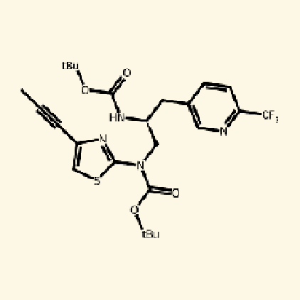 CC#Cc1csc(N(C[C@H](Cc2ccc(C(F)(F)F)nc2)NC(=O)OC(C)(C)C)C(=O)OC(C)(C)C)n1